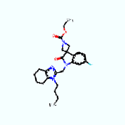 CCCCn1c(CN2C(=O)C3(CN(C(=O)OCC)C3)c3ccc(F)cc32)nc2c1CCCC2